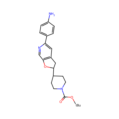 CC(C)(C)OC(=O)N1CCC(C2Cc3cc(-c4ccc(N)cc4)ncc3O2)CC1